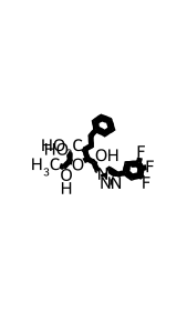 CC(O)C(CO)OC(C(O)Cn1cc(-c2cc(F)c(F)c(F)c2)nn1)C(CCc1ccccc1)C(=O)O